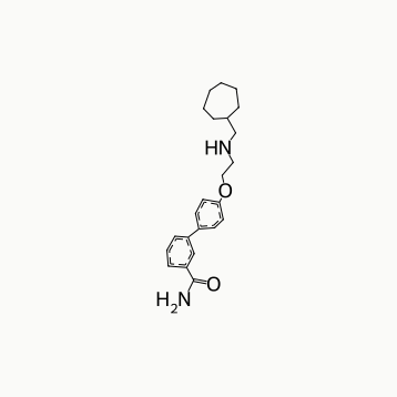 NC(=O)c1cccc(-c2ccc(OCCNCC3CCCCCC3)cc2)c1